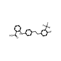 O=C(O)c1ccccc1Nc1ccc(CCc2ccc(F)c(C(F)(F)F)c2)cc1